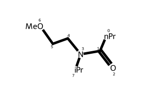 CCCC(=O)N(CCOC)C(C)C